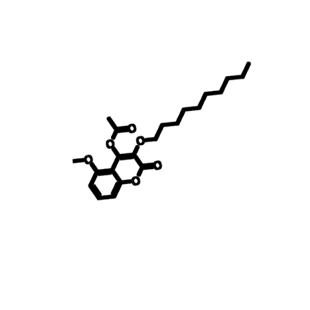 CCCCCCCCCCOc1c(OC(C)=O)c2c(OC)cccc2oc1=O